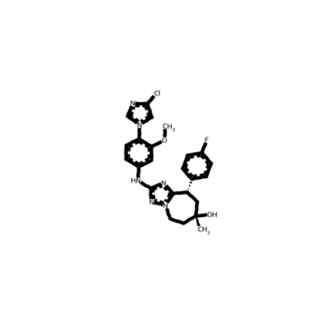 COc1cc(Nc2nc3n(n2)CC[C@@](C)(O)C[C@H]3c2ccc(F)cc2)ccc1-n1cnc(Cl)c1